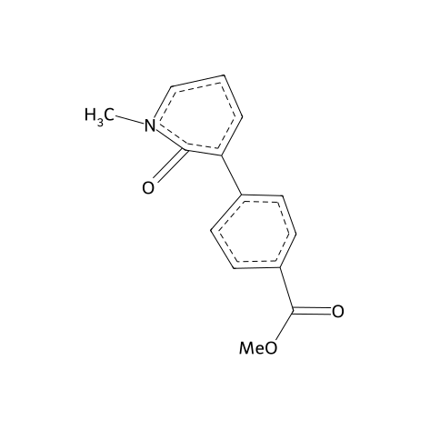 COC(=O)c1ccc(-c2cccn(C)c2=O)cc1